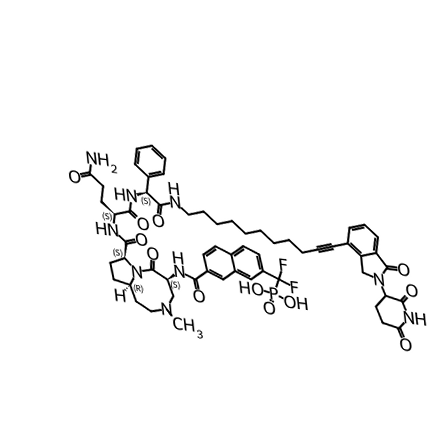 CN1CC[C@H]2CC[C@@H](C(=O)N[C@@H](CCC(N)=O)C(=O)N[C@H](C(=O)NCCCCCCCCCC#Cc3cccc4c3CN(C3CCC(=O)NC3=O)C4=O)c3ccccc3)N2C(=O)[C@@H](NC(=O)c2ccc3ccc(C(F)(F)P(=O)(O)O)cc3c2)C1